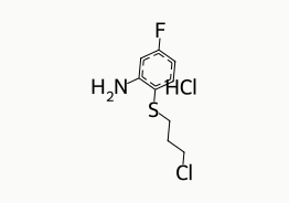 Cl.Nc1cc(F)ccc1SCCCCl